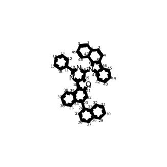 C1=CC2C=Cc3c(n(-c4nc(-c5ccccc5)nc5c4oc4cc(-c6cccc7ccccc67)c6ccccc6c45)c4ccccc34)C2C=C1